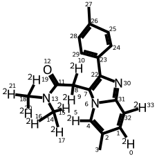 [2H]c1c(C)c([2H])n2c(C([2H])([2H])C(=O)N(C([2H])([2H])[2H])C([2H])([2H])[2H])c(-c3ccc(C)cc3)nc2c1[2H]